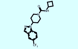 O=C(NC1CCC1)N1CCC(n2ncc3cc(C(F)(F)F)ccc32)CC1